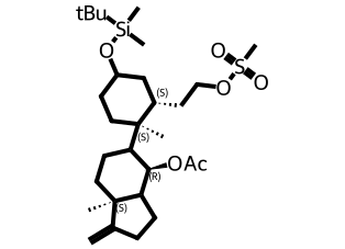 C=C1CCC2[C@H](OC(C)=O)C([C@@]3(C)CCC(O[Si](C)(C)C(C)(C)C)C[C@@H]3CCOS(C)(=O)=O)CC[C@]12C